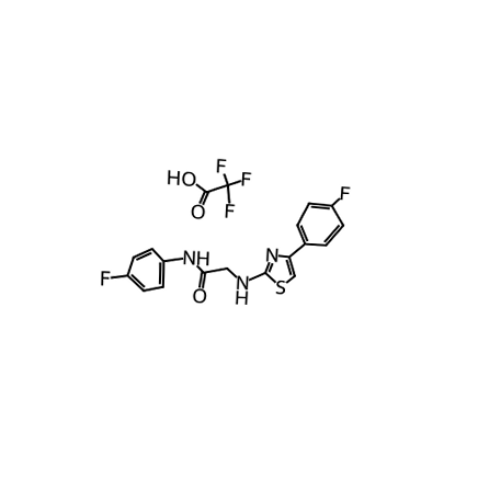 O=C(CNc1nc(-c2ccc(F)cc2)cs1)Nc1ccc(F)cc1.O=C(O)C(F)(F)F